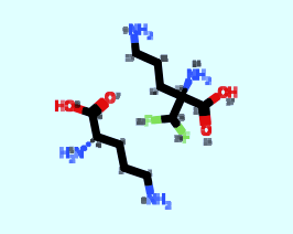 NCCC[C@H](N)C(=O)O.NCCC[C@](N)(C(=O)O)C(F)F